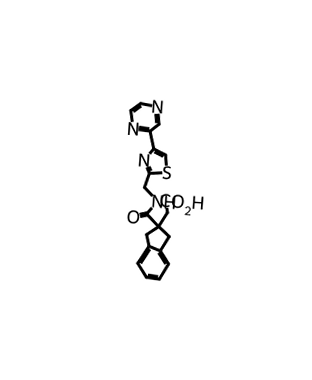 O=C(O)CC1(C(=O)NCc2nc(-c3cnccn3)cs2)Cc2ccccc2C1